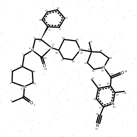 CC(=O)N1CCC(CN2C[C@@H](c3ccccc3)N(C3CCN(C4(C)CCN(C(=O)c5c(C)cc(C#N)nc5C)CC4)CC3)C2=O)CC1